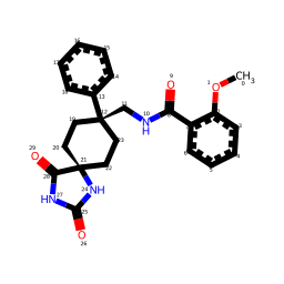 COc1ccccc1C(=O)NC[C@]1(c2ccccc2)CC[C@@]2(CC1)NC(=O)NC2=O